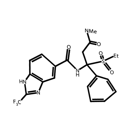 CCS(=O)(=O)C(CC(=O)NC)(NC(=O)c1ccc2[nH]c(C(F)(F)F)nc2c1)c1ccccc1